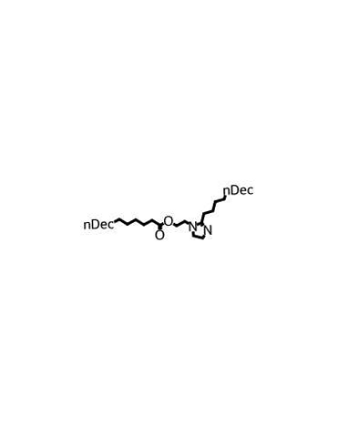 CCCCCCCCCCCCCCCC(=O)OCCN1CCN=C1CCCCCCCCCCCCCC